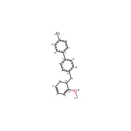 CCc1ccc(-c2ccc(CC3CC=CC=C3OI)cc2)cc1